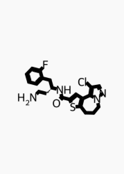 NCC[C@H](Cc1ccccc1F)NC(=O)c1cc2c(s1)CCCn1ncc(Cl)c1-2